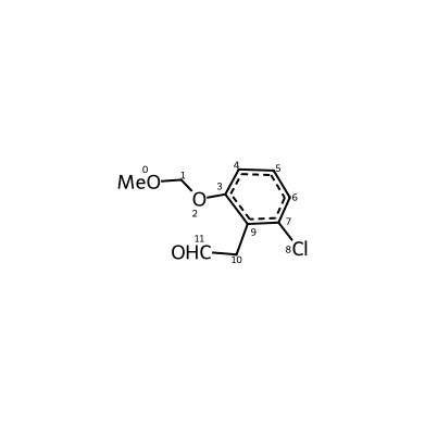 COCOc1cccc(Cl)c1CC=O